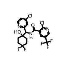 O=C(NC(c1cc(Cl)ccn1)C1(O)CCC(F)(F)CC1)c1cc(C(F)(F)F)cnc1Cl